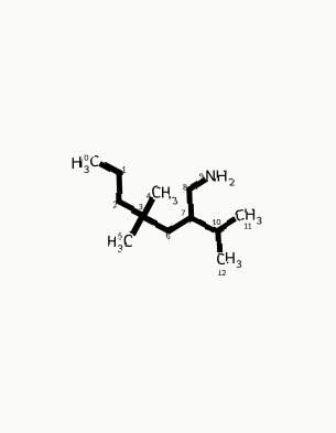 CCCC(C)(C)CC(CN)C(C)C